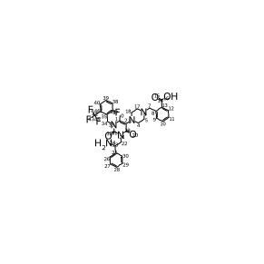 Cc1c(N2CCN(Cc3ccccc3C(=O)O)CC2)c(=O)n(C[C@H](N)c2ccccc2)c(=O)n1Cc1c(F)cccc1C(F)(F)F